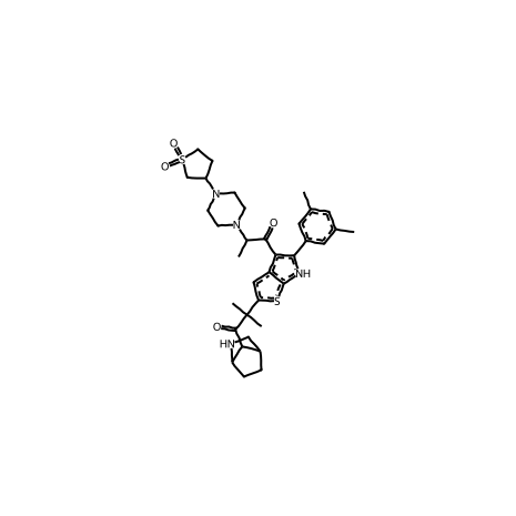 Cc1cc(C)cc(-c2[nH]c3sc(C(C)(C)C(=O)C4C5CCC4NC5)cc3c2C(=O)C(C)N2CCN(C3CCS(=O)(=O)C3)CC2)c1